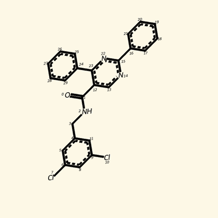 O=C(NCc1cc(Cl)cc(Cl)c1)c1cnc(-c2ccccc2)nc1-c1ccccc1